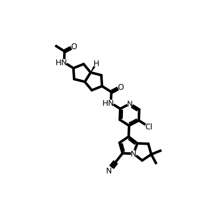 CC(=O)NC1CC2CC(C(=O)Nc3cc(-c4cc(C#N)n5c4CC(C)(C)C5)c(Cl)cn3)C[C@H]2C1